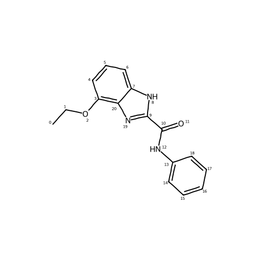 CCOc1cccc2[nH]c(C(=O)Nc3ccccc3)nc12